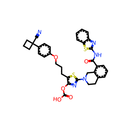 N#CC1(c2ccc(OCCCc3sc(N4CCc5cccc(C(=O)Nc6nc7ccccc7s6)c5C4)nc3OC(=O)O)cc2)CCC1